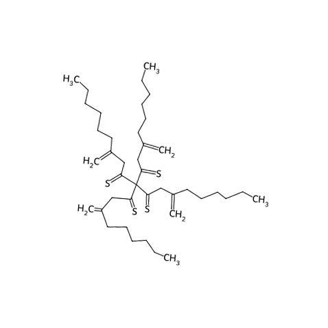 C=C(CCCCCC)CC(=S)C(C(=S)CC(=C)CCCCCC)(C(=S)CC(=C)CCCCCC)C(=S)CC(=C)CCCCCC